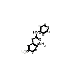 Nc1ccc(O)cc1CC(=O)Nc1ccncc1